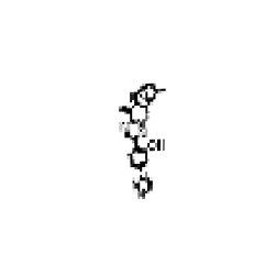 C=C(c1ncc(-c2ccc(-n3ccnn3)cc2O)nn1)[C@H]1CC2CC(C)C(N2)[C@@H]1F